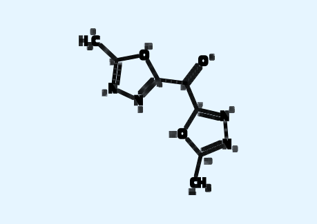 Cc1nnc(C(=O)c2nnc(C)o2)o1